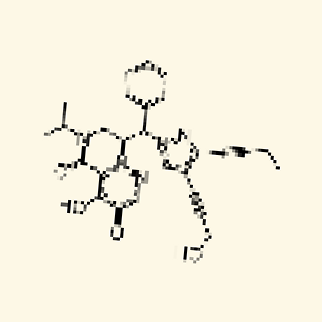 CCC#Cc1nn(C(c2ccccc2)C2CN(C(C)C)C(=O)c3c(O)c(=O)cnn32)cc1C#CCO